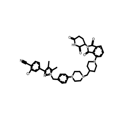 Cc1c(-c2ccc(C#N)c(Cl)c2)nn(Cc2ccc(N3CCN(CC4CCN(c5cccc6c5C(=O)N(C5CCC(=O)NC5=O)C6=O)CC4)CC3)cc2)c1C